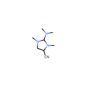 CN(C)C1N(C)CC(C#N)N1C